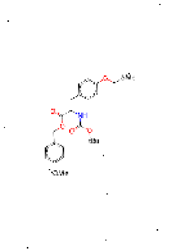 COc1ccc(COC(=O)C(Cc2ccc(OCSC)cc2)NC(=O)OC(C)(C)C)cc1